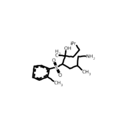 Cc1ccccc1S(=O)(=O)C(CC(C)CN)C(C)(O)CCC(C)C